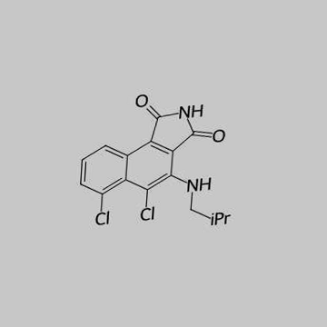 CC(C)CNc1c2c(c3cccc(Cl)c3c1Cl)C(=O)NC2=O